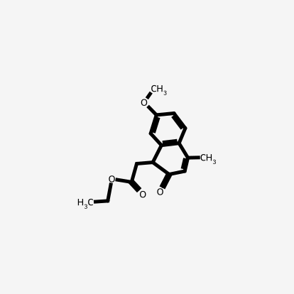 CCOC(=O)CC1C(=O)C=C(C)c2ccc(OC)cc21